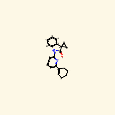 O=C(Nc1cccc(C2=CCCCC2)n1)C1(c2ccccc2)CC1